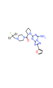 CCC(F)(CC)CN1CCN(C(=O)C2CCCN2c2nc(N)n3nc(-c4ccco4)nc3n2)CC1